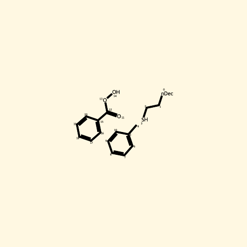 CCCCCCCCCCCCS.Cc1ccccc1.O=C(OO)c1ccccc1